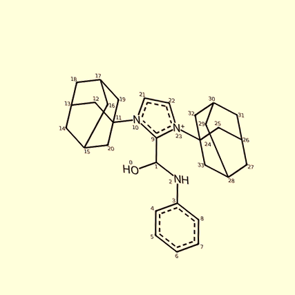 OC(Nc1ccccc1)c1n(C23CC4CC(CC(C4)C2)C3)cc[n+]1C12CC3CC(CC(C3)C1)C2